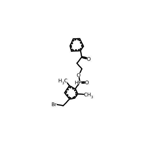 Cc1cc(CBr)cc(C)c1[PH](=O)OCCC(=O)c1ccccc1